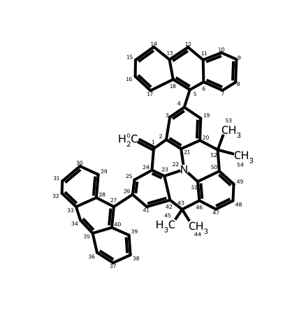 C=C1c2cc(-c3c4ccccc4cc4ccccc34)cc3c2N2c4c1cc(-c1c5ccccc5cc5ccccc15)cc4C(C)(C)c1cccc(c12)C3(C)C